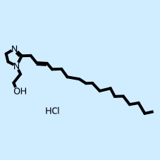 CCCCCCCCCCCCCCC=CCC1=NCCN1CCO.Cl